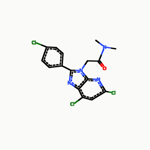 CN(C)C(=O)Cn1c(-c2ccc(Cl)cc2)nc2c(Cl)cc(Cl)nc21